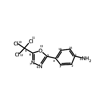 Nc1ccc(-c2nnc(C(Cl)(Cl)Cl)o2)cc1